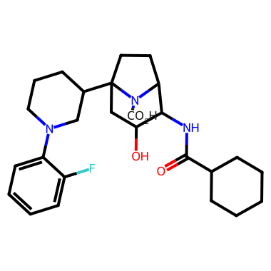 O=C(NC1C(O)CC2(C3CCCN(c4ccccc4F)C3)CCC1N2C(=O)O)C1CCCCC1